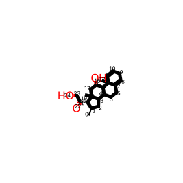 C[C@@H]1CC2C3CCC4=CCC=CC4(C)C3C(O)CC2(C)[C@H]1C(=O)CO